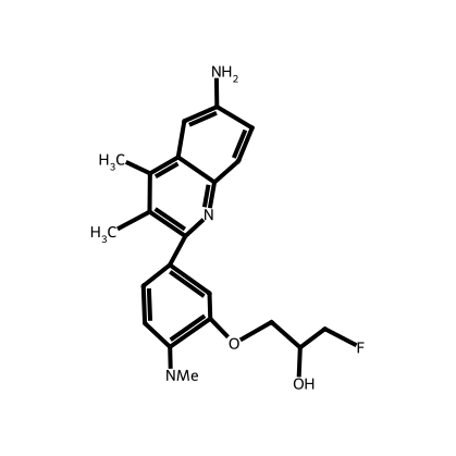 CNc1ccc(-c2nc3ccc(N)cc3c(C)c2C)cc1OCC(O)CF